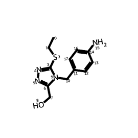 CCSc1nnc(CO)n1Cc1ccc(N)cc1